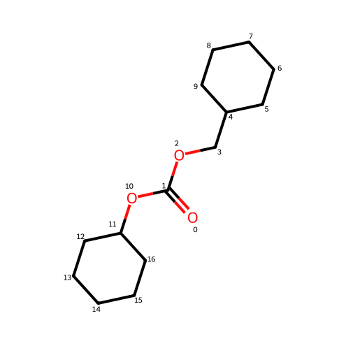 O=C(OCC1CCCCC1)OC1CCCCC1